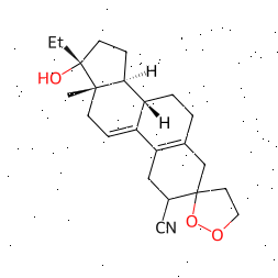 CC[C@@]1(O)CC[C@H]2[C@@H]3CCC4=C(CC(C#N)C5(CCOO5)C4)C3=CC[C@@]21C